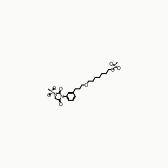 CS(=O)(=O)OCCCCCCCOCCCc1cccc(N2C(=O)CN(S(C)(=O)=O)C2=O)c1